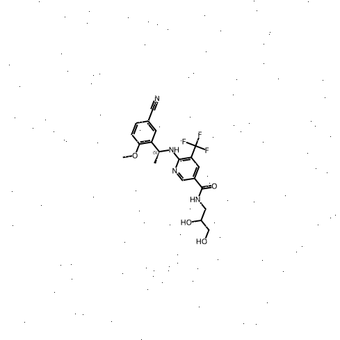 COc1ccc(C#N)cc1[C@H](C)Nc1ncc(C(=O)NCC(O)CO)cc1C(F)(F)F